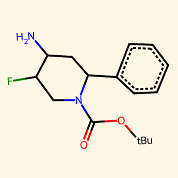 CC(C)(C)OC(=O)N1CC(F)C(N)CC1c1ccccc1